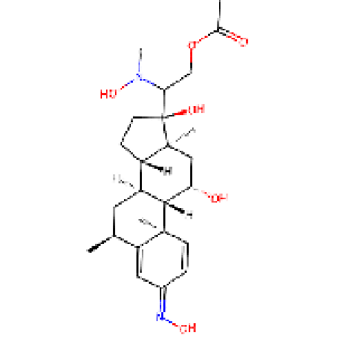 CC(=O)OCC(N(C)O)[C@@]1(O)CC[C@H]2[C@@H]3C[C@H](C)C4=C/C(=N/O)C=C[C@]4(C)[C@H]3[C@@H](O)C[C@@]21C